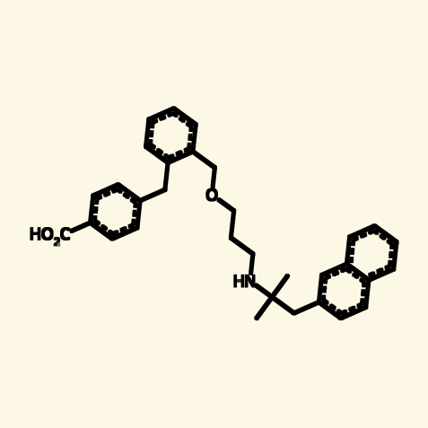 CC(C)(Cc1ccc2ccccc2c1)NCCCOCc1ccccc1Cc1ccc(C(=O)O)cc1